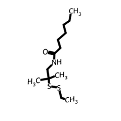 CCCCCCC(=O)NCC(C)(C)SSCC